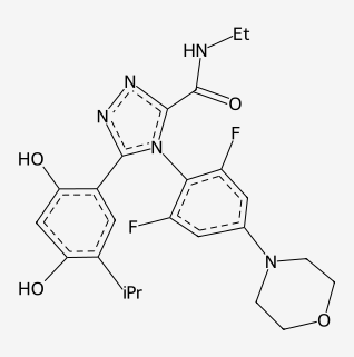 CCNC(=O)c1nnc(-c2cc(C(C)C)c(O)cc2O)n1-c1c(F)cc(N2CCOCC2)cc1F